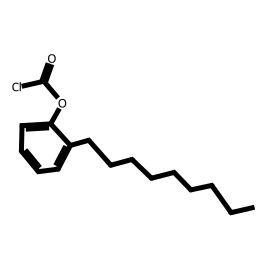 CCCCCCCCCc1ccccc1OC(=O)Cl